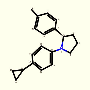 Cc1ccc([C@H]2CCCN2c2ccc(C3CC3)cc2)cc1